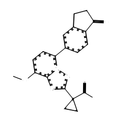 COc1ccc(-c2ccc3c(c2)CCC3=O)n2nc(C3(C(=O)O)CC3)nc12